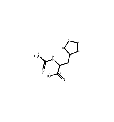 CC(=O)NC(CC1CCCC1)C(=O)O